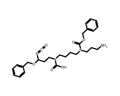 NCCCN(CCCCN(CCC(N=C=O)OCc1ccccc1)C(=O)O)C(=O)OCc1ccccc1